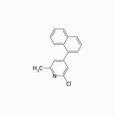 Cc1cc(-c2cccc3ccccc23)cc(Cl)n1